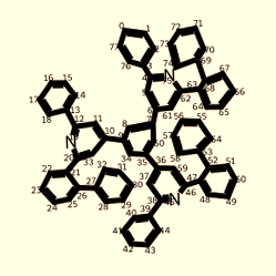 c1ccc(-c2cc(-c3cc(-c4cc(-c5ccccc5)nc(-c5ccccc5-c5ccccc5)c4)cc(-c4cc(-c5ccccc5)nc(-c5ccccc5-c5ccccc5)c4)c3)cc(-c3ccccc3-c3ccccc3)n2)cc1